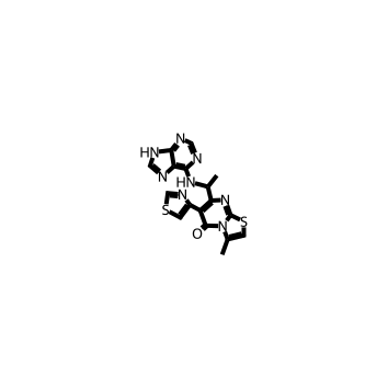 Cc1csc2nc(C(C)Nc3ncnc4[nH]cnc34)c(-c3cscn3)c(=O)n12